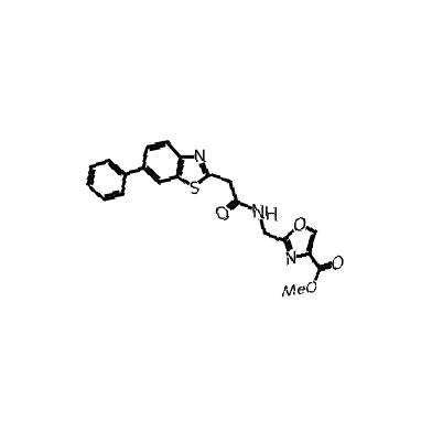 COC(=O)c1coc(CNC(=O)Cc2nc3ccc(-c4ccccc4)cc3s2)n1